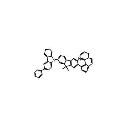 CC1(C)c2cc(-c3cccc4ccc5cccnc5c34)ccc2-c2ccc(-n3c4ccccc4c4cc(-c5ccccc5)ccc43)cc21